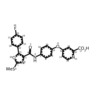 CSc1nc(C(=O)Nc2ccc(Oc3ccnc(C(=O)O)c3)cc2)c(-c2ccc(F)cc2)o1